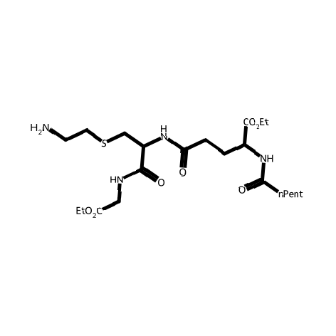 CCCCCC(=O)NC(CCC(=O)NC(CSCCN)C(=O)NCC(=O)OCC)C(=O)OCC